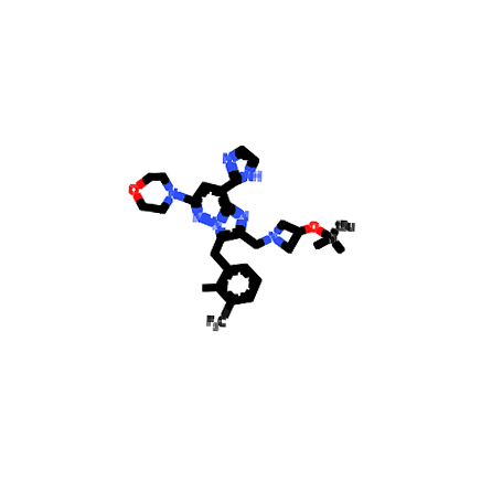 Cc1c(Cc2c(CN3CC(O[Si](C)(C)C(C)(C)C)C3)nc3c(-c4ncc[nH]4)cc(N4CCOCC4)nn23)cccc1C(F)(F)F